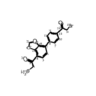 BCC(=O)c1ccc(-c2ccc(C(=O)CBr)cc2)c2c1OCO2